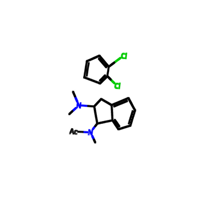 CC(=O)N(C)C1c2ccccc2CC1N(C)C.Clc1ccccc1Cl